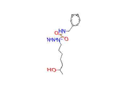 CC(O)CCCCC[N+](=[N+]=[N-])S(=O)(=O)NCc1ccccc1